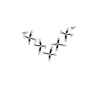 O=S(=O)([O-])[O-].O=S(=O)([O-])[O-].O=S(=O)([O-])[O-].O=S(=O)([O-])[O-].O=S(=O)([O-])[O-].[Nb+5].[Nb+5]